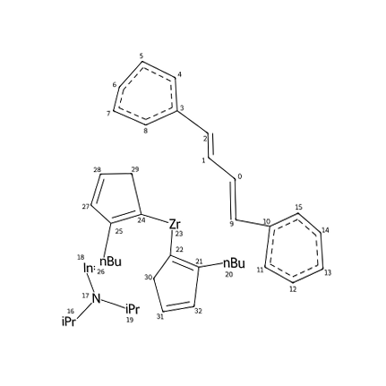 C(C=Cc1ccccc1)=Cc1ccccc1.CC(C)[N]([In])C(C)C.CCCCC1=[C]([Zr][C]2=C(CCCC)C=CC2)CC=C1